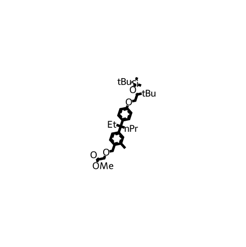 CCCC(CC)(c1ccc(OCC(O[Si](C)(C)C(C)(C)C)C(C)(C)C)cc1)c1ccc(COCC(=O)OC)c(C)c1